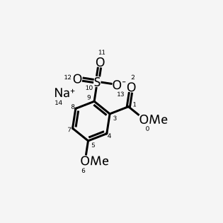 COC(=O)c1cc(OC)ccc1S(=O)(=O)[O-].[Na+]